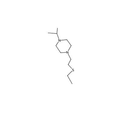 CCSCCN1CCN(C(C)C)CC1